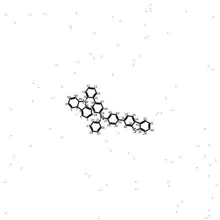 C1=CC2c3ccccc3N(c3ccccc3-c3ccc(N(c4ccccc4)c4ccc(-c5ccc6c(c5)sc5ccccc56)cc4)cc3)C2C=C1